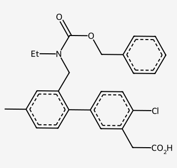 CCN(Cc1cc(C)ccc1-c1ccc(Cl)c(CC(=O)O)c1)C(=O)OCc1ccccc1